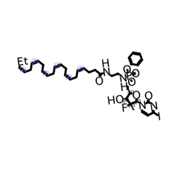 CC/C=C\C/C=C\C/C=C\C/C=C\C/C=C\C/C=C\CCC(=O)NCCNP(=O)(OC[C@H]1O[C@@H](n2ccc(I)nc2=O)[C@](C)(F)[C@@H]1O)Oc1ccccc1